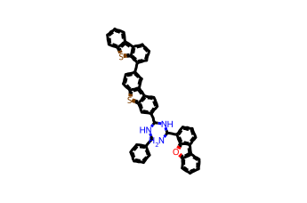 NC(NC(NCc1ccccc1)c1ccc2c(c1)sc1ccc(-c3cccc4c3sc3ccccc34)cc12)c1cccc2c1oc1ccccc12